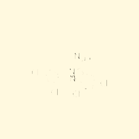 O=C(c1nn(Cc2ccc(Cl)cc2Cl)c2c(Cl)cc(Cl)cc12)N1CCCCC1